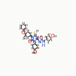 COc1ccc(NC(=O)N=c2nc(SC)n(-c3ccc(Oc4ccccc4)c(C)c3)c(=O)n2-c2ccc(OC)cc2)cc1